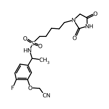 CC(NS(=O)(=O)CCCCCN1CC(=O)NC1=O)c1ccc(F)c(OCC#N)c1